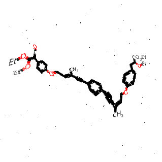 CCOC(=O)C(Cc1ccc(OCC=C(C)C#Cc2ccc(C#CC(C)=CCOc3ccc(C(=C=O)C(OCC)OCC)cc3)cc2)cc1)OCC